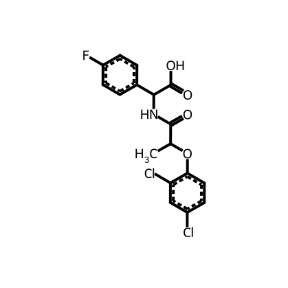 CC(Oc1ccc(Cl)cc1Cl)C(=O)NC(C(=O)O)c1ccc(F)cc1